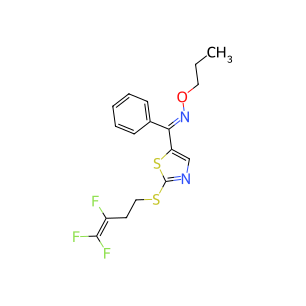 CCCO/N=C(\c1ccccc1)c1cnc(SCCC(F)=C(F)F)s1